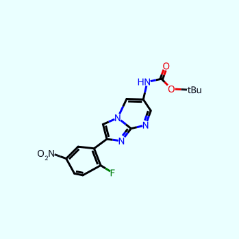 CC(C)(C)OC(=O)Nc1cnc2nc(-c3cc([N+](=O)[O-])ccc3F)cn2c1